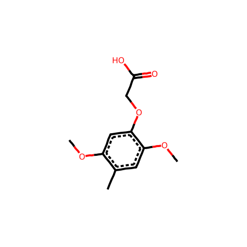 COc1cc(OCC(=O)O)c(OC)cc1C